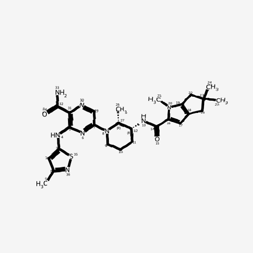 Cc1cc(Nc2nc(N3CCC[C@@H](NC(=O)c4cc5c(n4C)CC(C)(C)C5)[C@H]3C)cnc2C(N)=O)sn1